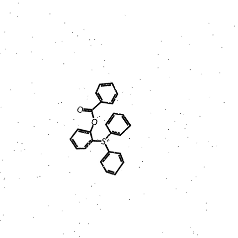 O=C(Oc1ccccc1[S+](c1ccccc1)c1ccccc1)c1ccccc1